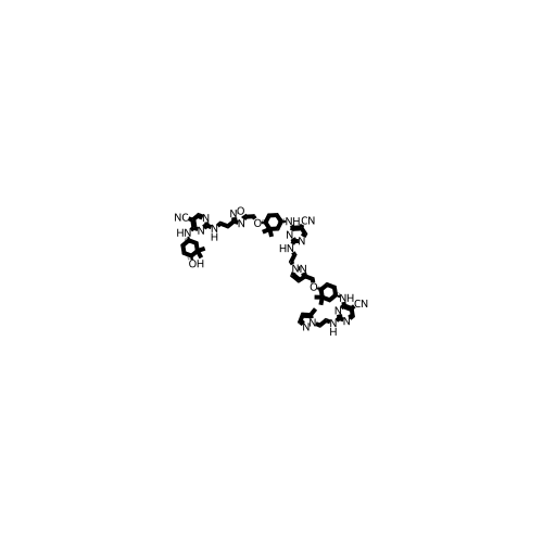 Cc1ccnn1CCNc1ncc(C#N)c(N[C@@H]2CC[C@H](OCc3ccn(CCNc4ncc(C#N)c(N[C@@H]5CC[C@H](OCc6nc(CCNc7ncc(C#N)c(N[C@@H]8CC[C@H](O)C(C)(C)C8)n7)no6)C(C)(C)C5)n4)n3)C(C)(C)C2)n1